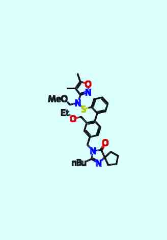 CCCCC1=NC2(CCCC2)C(=O)N1Cc1ccc(-c2ccccc2SN(COC)c2noc(C)c2C)c(COCC)c1